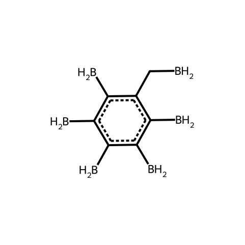 BCc1c(B)c(B)c(B)c(B)c1B